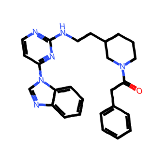 O=C(Cc1ccccc1)N1CCCC(CCNc2nccc(-n3cnc4ccccc43)n2)C1